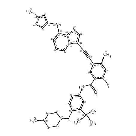 Cc1cc(F)c(C(=O)Nc2ccc(CN3CCN(C)CC3)c(C(C)(C)C#N)c2)cc1C#Cc1cnc2c(Nc3cnn(C)c3)cccn12